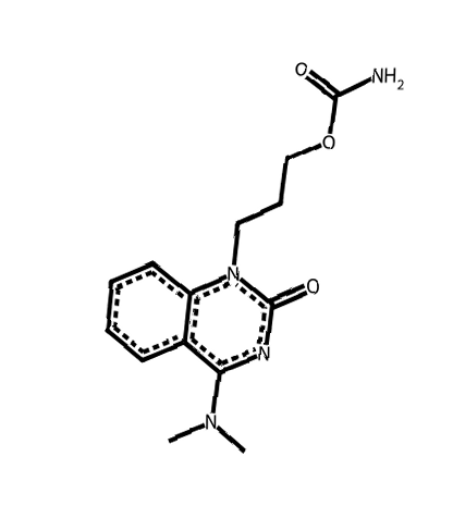 CN(C)c1nc(=O)n(CCCOC(N)=O)c2ccccc12